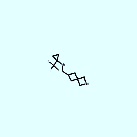 FC(F)(F)C1(NCC2CC3(CNC3)C2)CC1